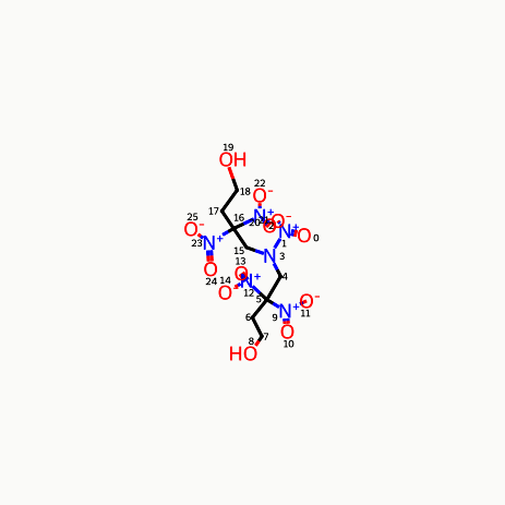 O=[N+]([O-])N(CC(CCO)([N+](=O)[O-])[N+](=O)[O-])CC(CCO)([N+](=O)[O-])[N+](=O)[O-]